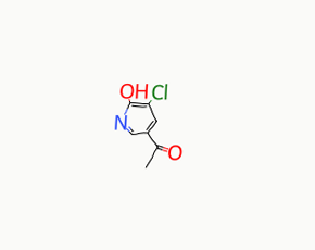 CC(=O)c1cnc(O)c(Cl)c1